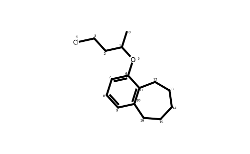 CC(CCCl)Oc1cccc2c1CCCCC2